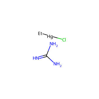 C[CH2][Hg][Cl].N=C(N)N